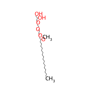 CCCCCCCCCCCCCCCCCCC(COCCOCCOCC(O)CO)OC